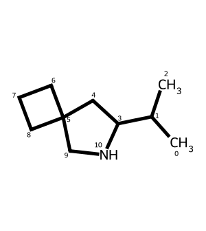 CC(C)C1CC2(CCC2)CN1